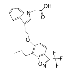 CCCc1c(OCCc2cn(CC(=O)O)c3ccccc23)ccc2c(C(F)(F)F)noc12